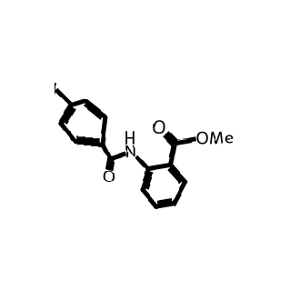 COC(=O)c1ccccc1NC(=O)c1ccc(I)cc1